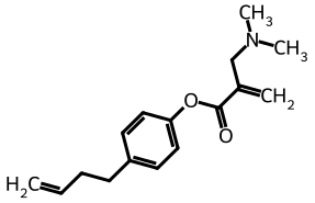 C=CCCc1ccc(OC(=O)C(=C)CN(C)C)cc1